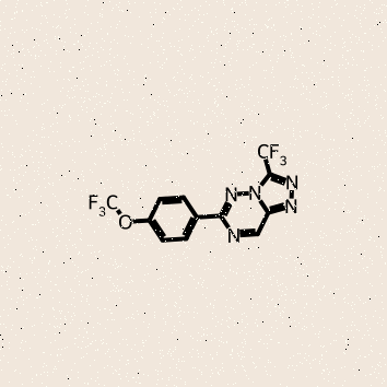 FC(F)(F)Oc1ccc(-c2ncc3nnc(C(F)(F)F)n3n2)cc1